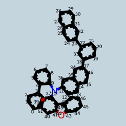 c1ccc(-c2ccccc2N(c2ccc3ccc(-c4cccc(-c5ccc6ccccc6c5)c4)cc3c2)c2cccc3oc4ccccc4c23)cc1